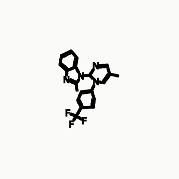 CC1=CN(c2ccc(C(F)(F)F)cc2)C(n2c(C)nc3ccccc32)N=C1